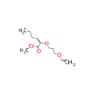 C=COCCCOC(=CCCC)C(=O)OC